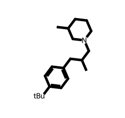 CC1CCCN(CC(C)Cc2ccc(C(C)(C)C)cc2)C1